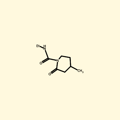 [CH2]CNC(=O)N1CCC(C)CC1=O